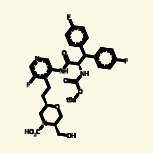 CC(C)(C)OC(=O)N[C@H](C(=O)Nc1cncc(F)c1CC[C@@H]1CN(C(=O)O)[C@H](CO)CO1)C(c1ccc(F)cc1)c1ccc(F)cc1